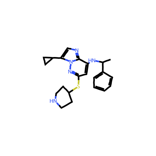 CC(Nc1cc(SC2CCNCC2)nn2c(C3CC3)cnc12)c1ccccc1